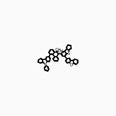 CC1(C)c2cccc(-c3ccc4c(c3)c3ccccc3n4-c3ccccc3)c2-c2ccccc2C1c1cc(-c2ccc3oc4ccccc4c3c2)c2sc3ccccc3c2c1